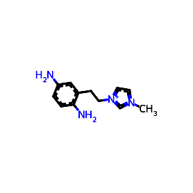 Cn1cc[n+](CCc2cc(N)ccc2N)c1